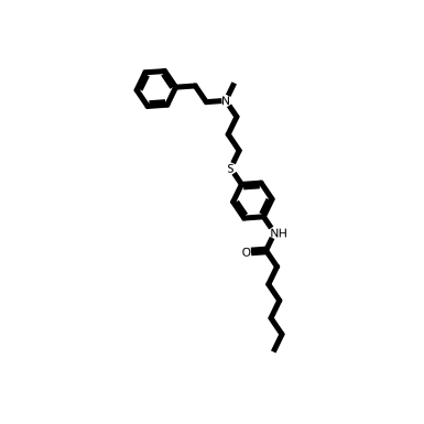 CCCCCCC(=O)Nc1ccc(SCCCN(C)CCc2ccccc2)cc1